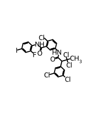 CC(Cl)(Cl)C(C(=O)Nc1ccc(Cl)c(C(=O)Nc2ccc(I)cc2F)c1)c1cc(Cl)cc(Cl)c1